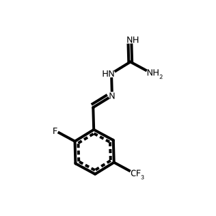 N=C(N)NN=Cc1cc(C(F)(F)F)ccc1F